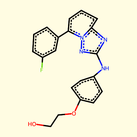 OCCOc1ccc(Nc2nc3cccc(-c4cccc(F)c4)n3n2)cc1